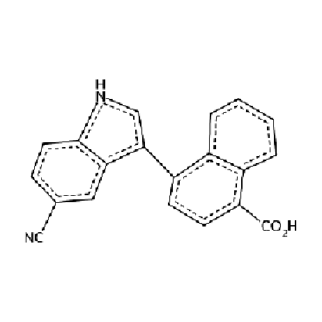 N#Cc1ccc2[nH]cc(-c3ccc(C(=O)O)c4ccccc34)c2c1